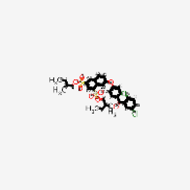 CCC(C)COS(=O)(=O)c1cc(S(=O)(=O)OCC(C)CC)c2cc(Oc3ccc(C(=O)c4cc(Cl)ccc4Cl)cc3)ccc2c1